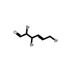 O=CC(Br)C(Br)/C=C/CBr